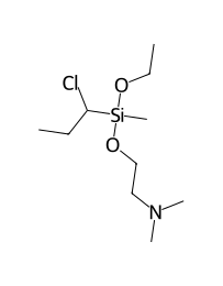 CCO[Si](C)(OCCN(C)C)C(Cl)CC